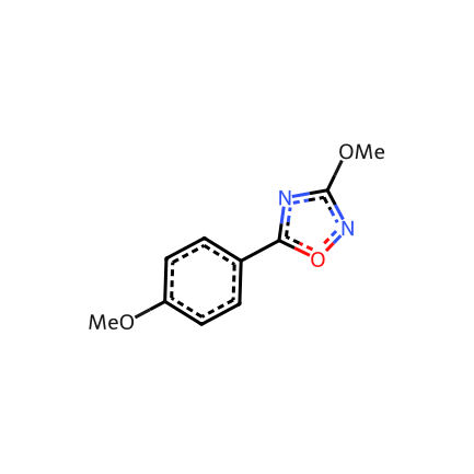 COc1ccc(-c2nc(OC)no2)cc1